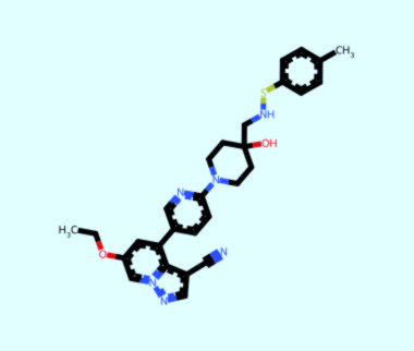 CCOc1cc(-c2ccc(N3CCC(O)(CNSc4ccc(C)cc4)CC3)nc2)c2c(C#N)cnn2c1